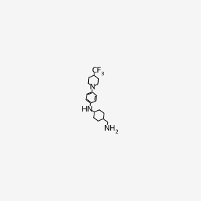 NCC1CCC(Nc2ccc(N3CCC(C(F)(F)F)CC3)cc2)CC1